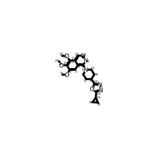 COc1cc2c(N3CCC(c4nnc(C5CC5)o4)CC3)nncc2c(OC)c1OC